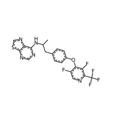 CC(Cc1ccc(Oc2c(F)cnc(C(F)(F)F)c2F)cc1)Nc1ncnc2scnc12